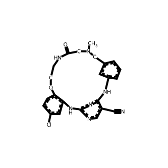 CN1CC(=O)NCCOc2ccc(Cl)cc2Nc2ncc(C#N)c(n2)Nc2cccc(c2)C1